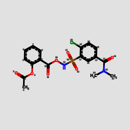 CC(=O)Oc1ccccc1C(=O)ONS(=O)(=O)c1cc(C(=O)N(C)C)ccc1Cl